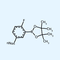 CCCCCCCCCc1ccc(F)c(B2OC(C)(C)C(C)(C)O2)c1